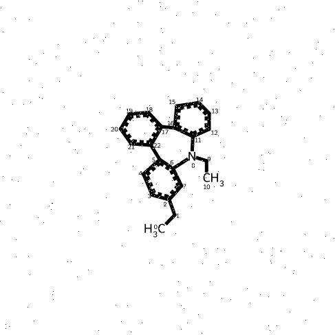 CCc1ccc2c(c1)N(CC)c1ccccc1-c1ccccc1-2